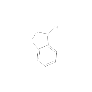 NN1NSc2ccccc21